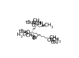 CC#CCC(C)C(/C=C/[C@H]1[C@H](O[Si](C)(C)C(C)(C)C)CC(=O)[C@@H]1C/C(Br)=C/CCCCO[Si](C)(C)C(C)(C)C)O[Si](C)(C)C(C)(C)C